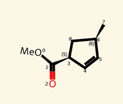 COC(=O)[C@@H]1C=C[C@H](C)C1